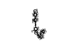 Cc1cc(C#Cc2ccc(-c3ccc(Cl)cc3)cn2)ccc1OCCN1CCCCC1CN1CCCC1